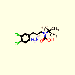 CC(C)(C)N(C[C@@H](N)Cc1ccc(Cl)c(Cl)c1)C(=O)O